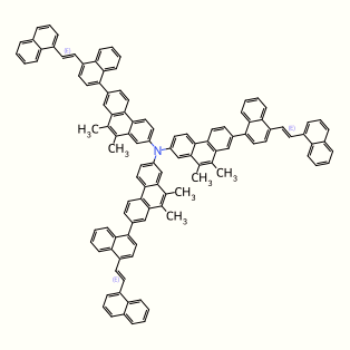 Cc1c(C)c2cc(N(c3ccc4c(c3)c(C)c(C)c3cc(-c5ccc(/C=C/c6cccc7ccccc67)c6ccccc56)ccc34)c3ccc4c(c3)c(C)c(C)c3cc(-c5ccc(/C=C/c6cccc7ccccc67)c6ccccc56)ccc34)ccc2c2ccc(-c3ccc(/C=C/c4cccc5ccccc45)c4ccccc34)cc12